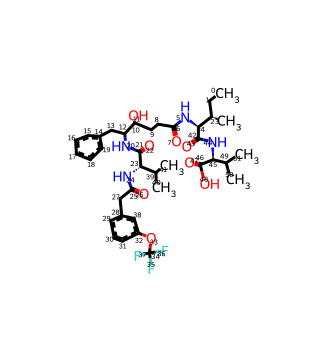 CC[C@H](C)[C@H](NC(=O)CCC(O)C(Cc1ccccc1)NC(=O)[C@@H](NC(=O)Cc1cccc(OC(F)(F)F)c1)C(C)C)C(=O)N[C@H](C(=O)O)C(C)C